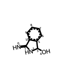 N=C1NC(O)c2ccccc21